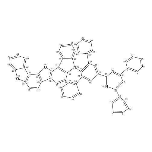 c1ccc(-c2cc(-c3ccccc3)nc(-c3cc(-c4ccccc4)c(-n4c5ccccc5c5c6oc7c(ccc8oc9ccccc9c87)c6ccc54)c(-c4ccccc4)c3)n2)cc1